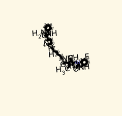 Cc1[nH]c(/C=C2\C(=O)Nc3ccc(F)cc32)c(C)c1C(=O)NCCCCCCNc1ccc(C(=O)Nc2ccccc2N)cn1